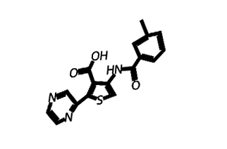 Cc1cccc(C(=O)Nc2csc(-c3cnccn3)c2C(=O)O)c1